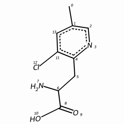 Cc1cnc(CC(N)C(=O)O)c(Cl)c1